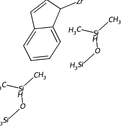 C[SiH](C)O[SiH3].C[SiH](C)O[SiH3].[Zr][CH]1C=Cc2ccccc21